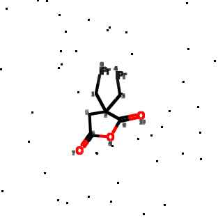 CC(C)CC1(CC(C)C)CC(=O)OC1=O